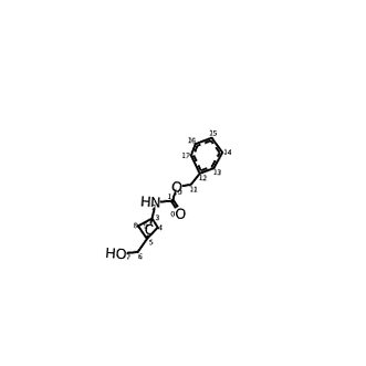 O=C(NC12CC(CO)(C1)C2)OCc1ccccc1